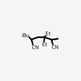 CCC(C)C(C#N)CC(CC)(CC)C(C)C#N